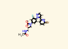 CC(=O)NC[C@H]1CN(c2ccc(-n3nccc3-c3cccc(Br)n3)c(F)c2)C(=O)O1